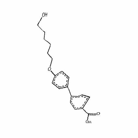 O=C(O)c1ccc(-c2ccc(OCCCCCCO)cc2)cc1